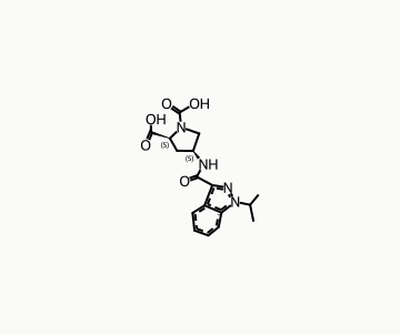 CC(C)n1nc(C(=O)N[C@H]2C[C@@H](C(=O)O)N(C(=O)O)C2)c2ccccc21